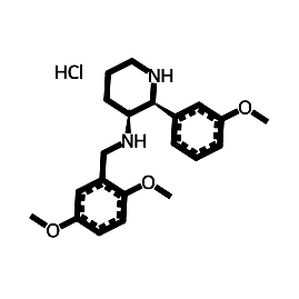 COc1cccc([C@@H]2NCCC[C@@H]2NCc2cc(OC)ccc2OC)c1.Cl